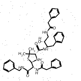 CC1(C)S[C@H]([C@H](NC(=O)Cc2ccccc2)C(=O)NCc2ccccc2)N[C@H]1C(=O)NC(Cc1ccccc1)[C@H](O)CNC(=O)Cc1ccccc1